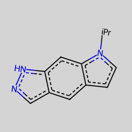 CC(C)n1ccc2cc3cn[nH]c3cc21